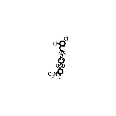 O=[N+]([O-])c1cc(S(=O)(=O)C2CCN(c3nc(Cc4ccc(Cl)cc4Cl)cs3)CC2)ccc1Cl